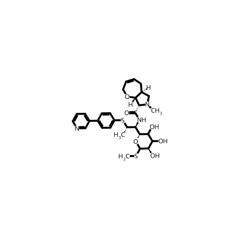 CSC1O[C@H]([C@H](NC(=O)[C@@H]2[C@@H]3OCC=CC[C@H]3CN2C)[C@H](C)Sc2ccc(-c3cccnc3)cc2)C(O)C(O)[C@H]1O